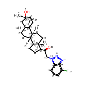 COC[C@]12CC[C@@](C)(O)C[C@@H]1CC[C@H]1[C@@H]3CC[C@H](C(=O)Cn4nnc5c(F)cccc54)[C@@]3(C)CC[C@@H]12